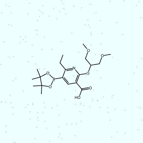 CCc1nc(OC(COC)COC)c(C(=O)O)cc1B1OC(C)(C)C(C)(C)O1